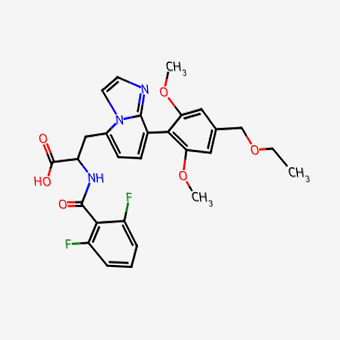 CCOCc1cc(OC)c(-c2ccc(CC(NC(=O)c3c(F)cccc3F)C(=O)O)n3ccnc23)c(OC)c1